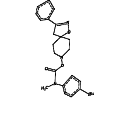 CN(C(=O)ON1CCC2(CC1)CC(c1ccccc1)=NO2)c1ccc(C(C)(C)C)cc1